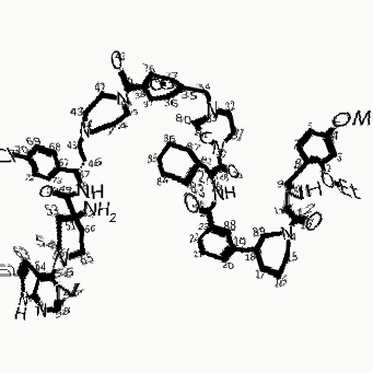 CCOc1cc(OC)ccc1CNCC(=O)N1CCCC(c2cccc(C(=O)N[C@H](C(=O)N3CCN(CC45CCC(C(=O)N6CCN(CC[C@H](NC(=O)C7(N)CCN(c8ncnc9[nH]ccc89)CC7)c7ccc(Cl)cc7)CC6)(CC4)CO5)CC3)C3CCCCC3)c2)C1